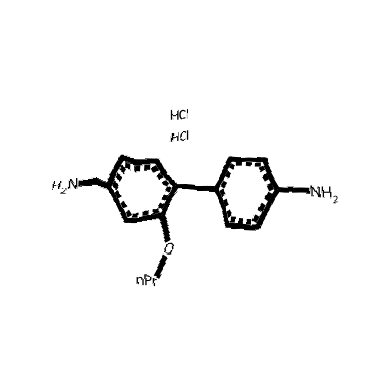 CCCOc1cc(N)ccc1-c1ccc(N)cc1.Cl.Cl